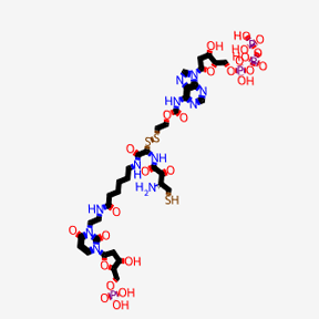 N[C@@H](CS)C(=O)C(=O)NC(SSCCOC(=O)Nc1ncnc2c1ncn2C1CC(O)C(COP(=O)(O)OP(=O)(O)OP(=O)(O)O)O1)C(=O)NCCCCCC(=O)NCCn1c(=O)ccn(C2CC(O)C(COP(=O)(O)O)O2)c1=O